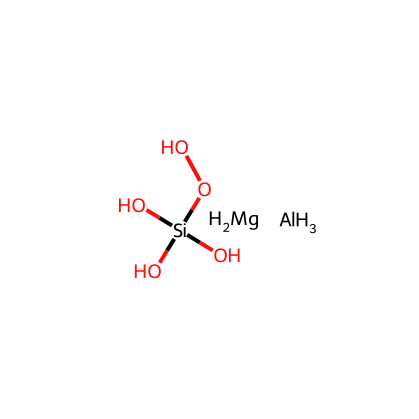 OO[Si](O)(O)O.[AlH3].[MgH2]